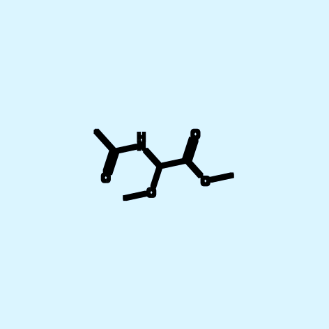 COC(=O)C(NC(C)=O)OC